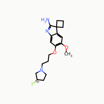 COc1cc2c(cc1OCCCN1CC[C@@H](F)C1)N=C(N)C21CCC1